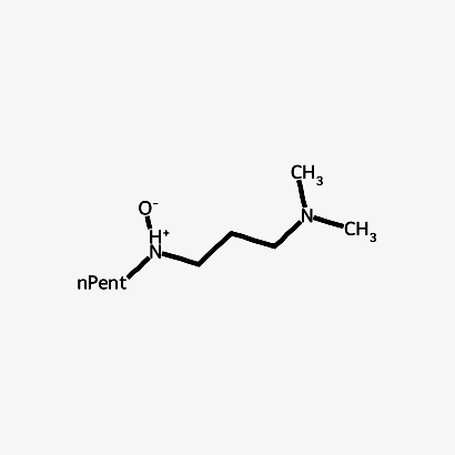 CCCCC[NH+]([O-])CCCN(C)C